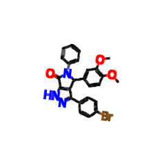 COc1ccc(C2c3c(-c4ccc(Br)cc4)n[nH]c3C(=O)N2c2ccccc2)cc1OC